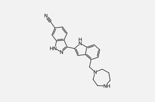 N#Cc1ccc2c(-c3cc4c(CN5CCCNCC5)cccc4[nH]3)n[nH]c2c1